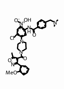 COc1ccccc1-c1noc(C)c1C(=O)N1CCN(c2cc(NC(=O)c3ccc(CN(C)C)cc3)c([NH+]([O-])O)cc2Cl)CC1